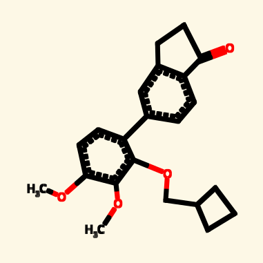 COc1ccc(-c2ccc3c(c2)CCC3=O)c(OCC2CCC2)c1OC